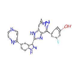 Oc1cc(F)cc(-c2nccc3[nH]c(-c4n[nH]c5ccc(-c6cnccn6)cc45)nc23)c1